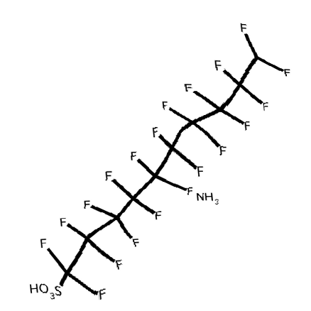 N.O=S(=O)(O)C(F)(F)C(F)(F)C(F)(F)C(F)(F)C(F)(F)C(F)(F)C(F)(F)C(F)(F)C(F)(F)C(F)F